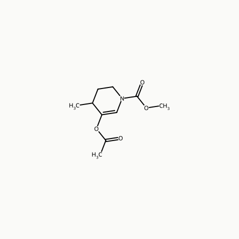 COC(=O)N1C=C(OC(C)=O)C(C)CC1